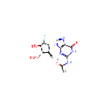 C=C1[C@@H](n2cnc3c(=O)[nH]c(NC(=O)C(C)C)nc32)C(F)[C@H](O)[C@H]1CO